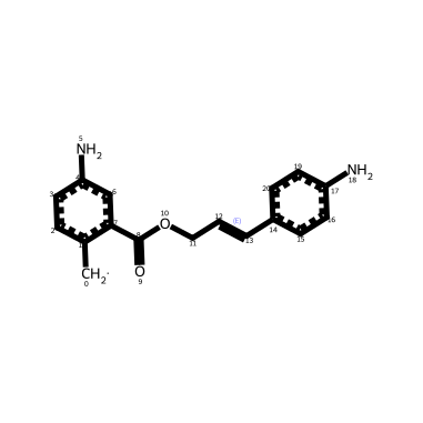 [CH2]c1ccc(N)cc1C(=O)OC/C=C/c1ccc(N)cc1